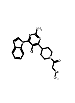 CNCC(=O)N1CCC(c2nc(N)nc(-n3ccc4ccccc43)c2Cl)CC1